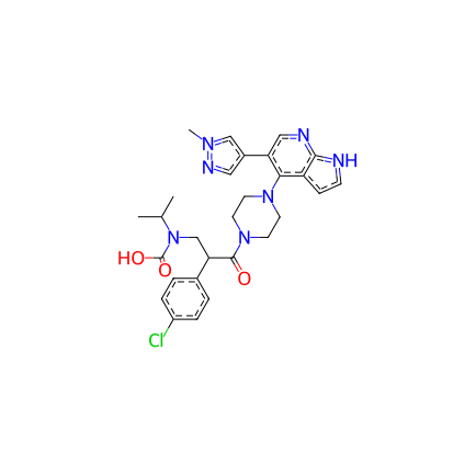 CC(C)N(CC(C(=O)N1CCN(c2c(-c3cnn(C)c3)cnc3[nH]ccc23)CC1)c1ccc(Cl)cc1)C(=O)O